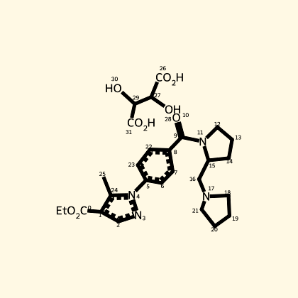 CCOC(=O)c1cnn(-c2ccc(C(=O)N3CCCC3CN3CCCC3)cc2)c1C.O=C(O)C(O)C(O)C(=O)O